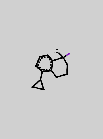 CC1(I)CCCc2c(C3CC3)cccc21